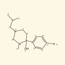 C[C](C)CN1CCC(O)(c2ccc(F)cc2)C(C)C1